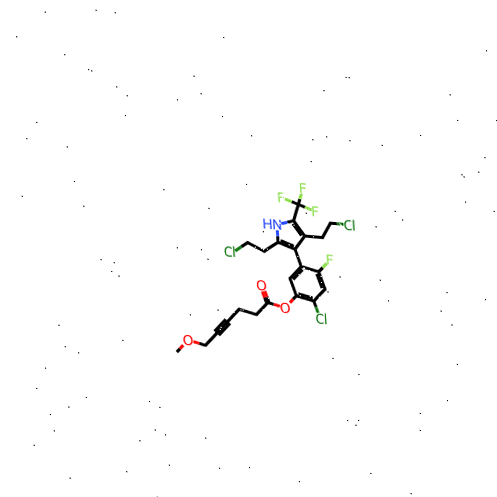 COCC#CCCC(=O)Oc1cc(-c2c(CCCl)[nH]c(C(F)(F)F)c2CCCl)c(F)cc1Cl